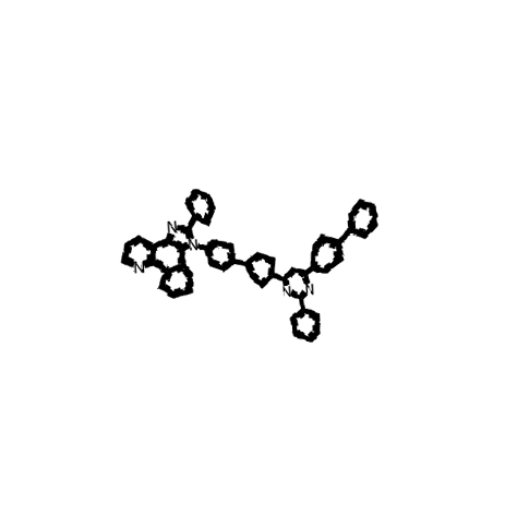 c1ccc(-c2ccc(-c3cc(-c4ccc(-c5ccc(-n6c(-c7ccccc7)nc7c8cccnc8c8ccccc8c76)cc5)cc4)nc(-c4ccccc4)n3)cc2)cc1